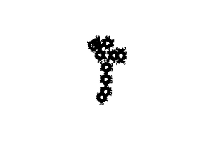 CC1(C)CCC(C)(C)c2cc(N(c3ccc(-c4ccc(-c5ccc6ccccc6c5)cc4)cc3)c3cccc4c3Oc3ccccc3C43C4CC5CC6CC3C64C5)ccc21